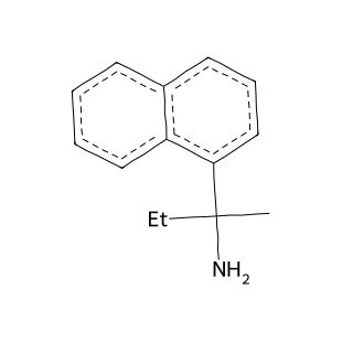 CCC(C)(N)c1cccc2ccccc12